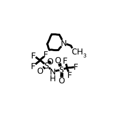 CCN1CCCCC1.O=S(=O)(NS(=O)(=O)C(F)(F)F)C(F)(F)F